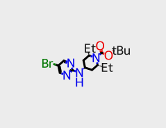 CC[C@@H]1C[C@H](Nc2ncc(Br)cn2)C[C@H](CC)N1C(=O)OC(C)(C)C